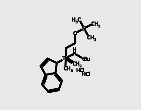 Cl.Cl.[CH2]=[Ti]([CH3])([CH2]CO[Si](C)(C)C)([NH]C(C)(C)C)[CH]1C=Cc2ccccc21